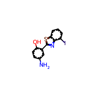 Nc1ccc(O)c(-c2nc3c(I)cccc3s2)c1